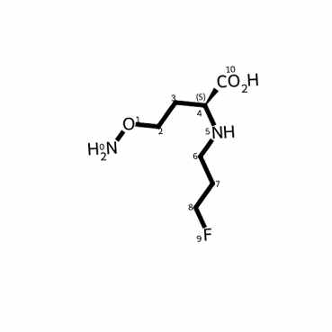 NOCC[C@H](NCCCF)C(=O)O